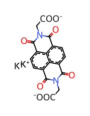 O=C([O-])CN1C(=O)c2ccc3c4c(ccc(c24)C1=O)C(=O)N(CC(=O)[O-])C3=O.[K+].[K+]